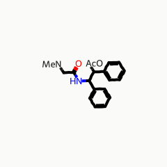 CNCC(=O)NC(c1ccccc1)C(OC(C)=O)c1ccccc1